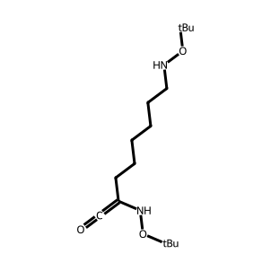 CC(C)(C)ONCCCCCCC(=C=O)NOC(C)(C)C